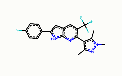 Cc1nn(C)c(C)c1-c1nc2[nH]c(-c3ccc(F)cc3)cc2cc1C(F)(F)F